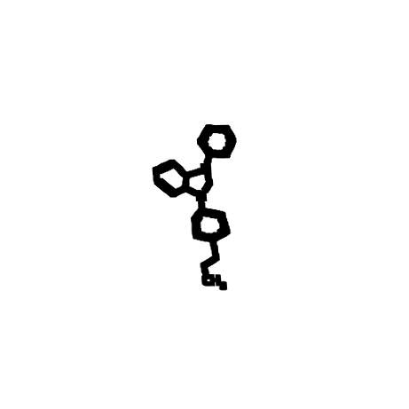 CCCc1ccc(N2CN(c3ccccc3)C3C=CC=CC32)cc1